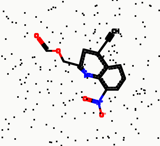 C#Cc1cc(COC=O)nc2c([N+](=O)[O-])cccc12